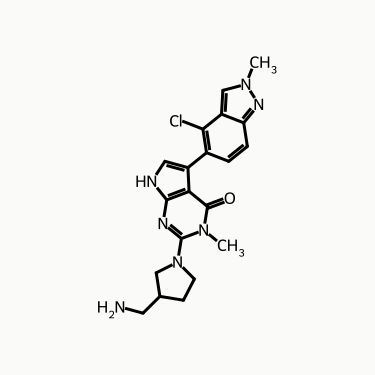 Cn1cc2c(Cl)c(-c3c[nH]c4nc(N5CCC(CN)C5)n(C)c(=O)c34)ccc2n1